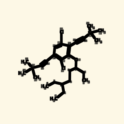 CCC(CC)CCC(CC)Oc1c(Cl)c(C#C[Si](C)(C)C)cc(Cl)c1C#C[Si](C)(C)C